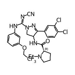 CCN1CCC[C@@H]1C(=O)NC1CN(C(=NC#N)Nc2cccc(OCC(F)(F)F)c2)N=C1c1ccc(Cl)c(Cl)c1